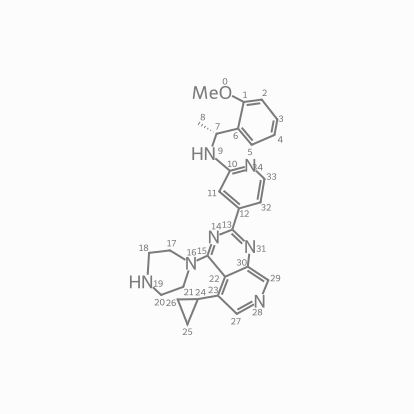 COc1ccccc1[C@@H](C)Nc1cc(-c2nc(N3CCNCC3)c3c(C4CC4)cncc3n2)ccn1